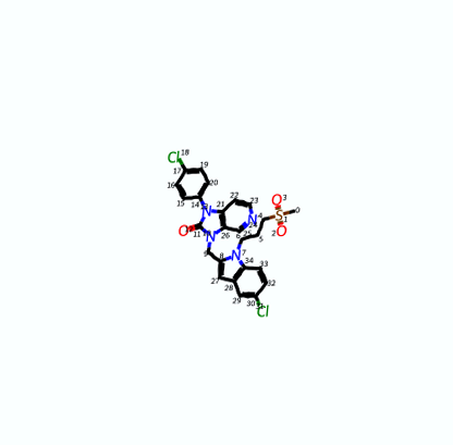 CS(=O)(=O)CCCn1c(Cn2c(=O)n(-c3ccc(Cl)cc3)c3ccncc32)cc2cc(Cl)ccc21